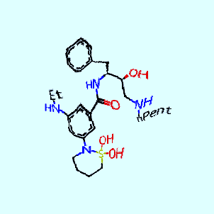 CCCCCNC[C@H](O)[C@H](Cc1ccccc1)NC(=O)c1cc(NCC)cc(N2CCCCS2(O)O)c1